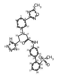 Cc1nc(-c2cccc(N(CCc3nnn[nH]3)CC(=O)Nc3ccc(-c4ccccc4S(C)(=O)=O)cc3)c2)no1